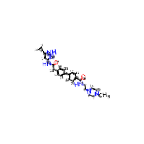 CN1CCN(CCNC(=O)c2ccc(-c3ccc(CC(=O)Nc4cc(C5CC5)[nH]n4)cc3)cc2)CC1